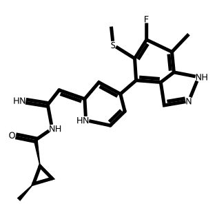 CSc1c(F)c(C)c2[nH]ncc2c1C1=C/C(=C/C(=N)NC(=O)[C@H]2C[C@H]2C)NC=C1